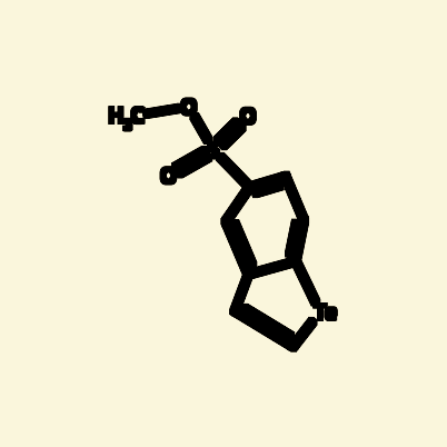 COS(=O)(=O)c1ccc2[te]ccc2c1